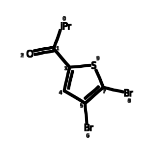 CC(C)C(=O)c1cc(Br)c(Br)s1